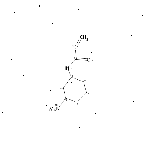 C=CC(=O)NC1CCCC(NC)C1